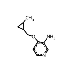 CC1CC1COc1ccncc1N